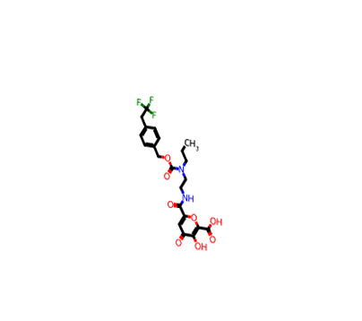 CCCN(CCNC(=O)c1cc(=O)c(O)c(C(=O)O)o1)C(=O)OCc1ccc(CC(F)(F)F)cc1